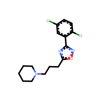 Clc1ccc(Cl)c(-c2noc(CCCN3CCCCC3)n2)c1